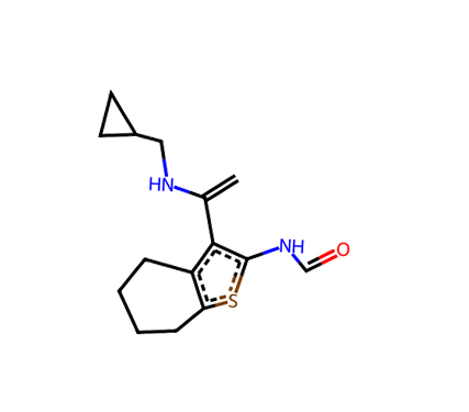 C=C(NCC1CC1)c1c(NC=O)sc2c1CCCC2